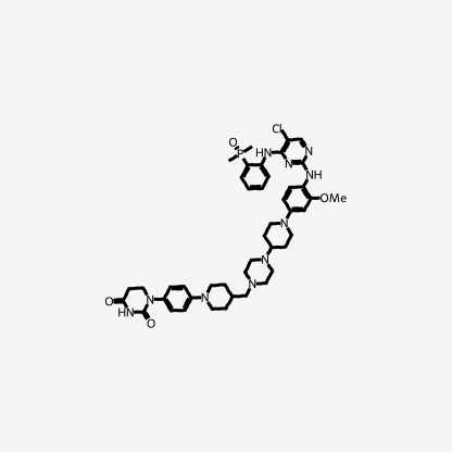 COc1cc(N2CCC(N3CCN(CC4CCN(c5ccc(N6CCC(=O)NC6=O)cc5)CC4)CC3)CC2)ccc1Nc1ncc(Cl)c(Nc2ccccc2P(C)(C)=O)n1